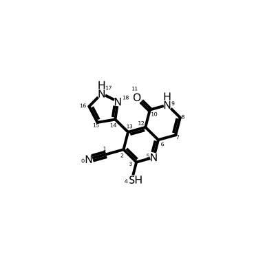 N#Cc1c(S)nc2cc[nH]c(=O)c2c1-c1cc[nH]n1